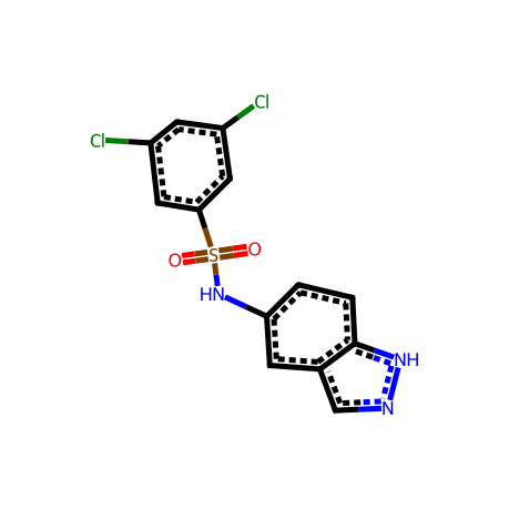 O=S(=O)(Nc1ccc2[nH]ncc2c1)c1cc(Cl)cc(Cl)c1